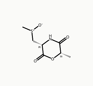 C[C@@H]1OC(=O)[C@H](C[S+](C)[O-])NC1=O